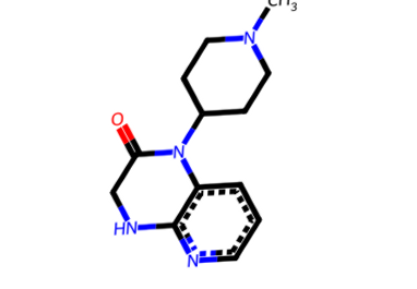 CN1CCC(N2C(=O)CNc3ncccc32)CC1